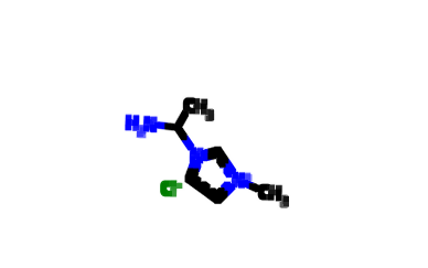 CC(N)n1cc[n+](C)c1.[Cl-]